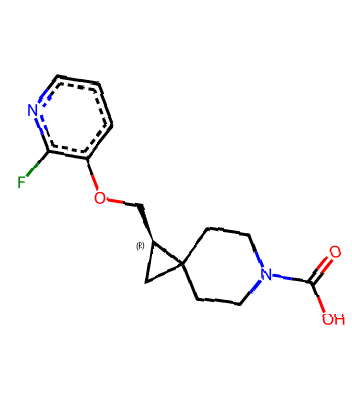 O=C(O)N1CCC2(CC1)C[C@H]2COc1cccnc1F